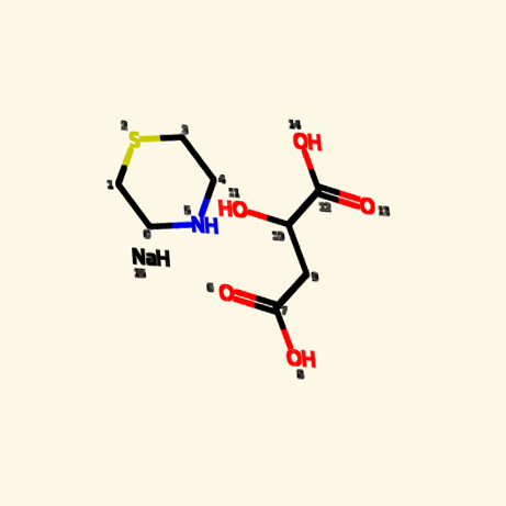 C1CSCCN1.O=C(O)CC(O)C(=O)O.[NaH]